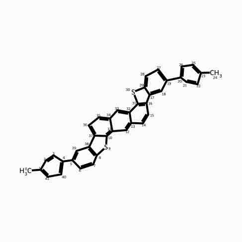 Cc1ccc(-c2ccc3sc4c5cc6ccc7c8cc(-c9ccc(C)cc9)ccc8sc7c6cc5ccc4c3c2)cc1